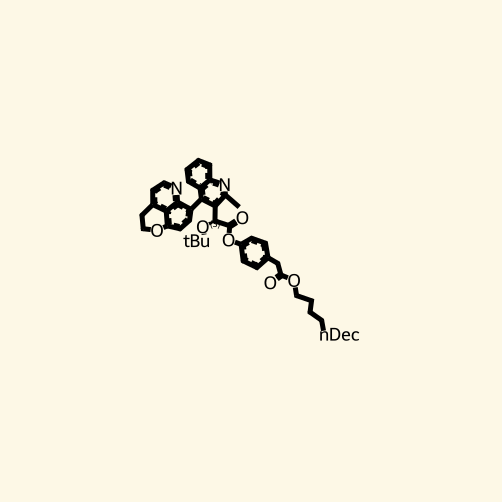 CCCCCCCCCCCCCCOC(=O)Cc1ccc(OC(=O)[C@@H](OC(C)(C)C)c2c(C)nc3ccccc3c2-c2ccc3c4c(ccnc24)CCO3)cc1